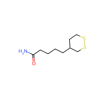 NC(=O)CCCCC1CCSSC1